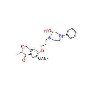 COc1cc2c(cc1OCCCN1CCN(c3ccccc3)CC1O)COC(C)C2=O